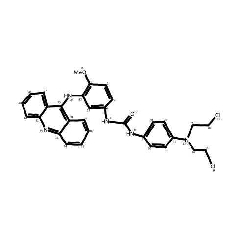 COc1ccc(NC(=O)Nc2ccc(N(CCCl)CCCl)cc2)cc1Nc1c2ccccc2nc2ccccc12